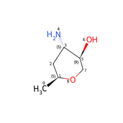 C[C@H]1C[C@H](N)[C@@H](O)CO1